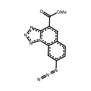 COC(=O)c1cc2ccc(N=[N+]=[N-])cc2n2nnnc12